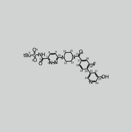 CC(C)(C)S(=O)(=O)NC(=O)c1ccc(N2CCN(C(=O)c3ccc(-c4cncc(O)c4)c(F)c3)CC2)nn1